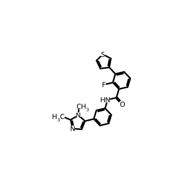 Cc1ncc(-c2cccc(NC(=O)c3cccc(-c4ccsc4)c3F)c2)n1C